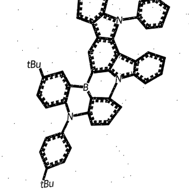 CC(C)(C)c1ccc(N2c3ccc(C(C)(C)C)cc3B3c4c2cccc4-n2c4ccccc4c4c2c3cc2c3ccccc3n(-c3ccccc3)c24)cc1